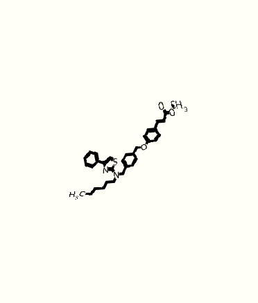 CCCCCCN(Cc1ccc(COc2ccc(CCC(=O)OC)cc2)cc1)c1nc(-c2ccccc2)cs1